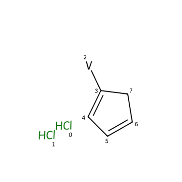 Cl.Cl.[V][C]1=CC=CC1